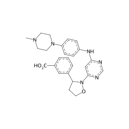 CN1CCN(c2ccc(Nc3cc(N4OCCC4c4cccc(C(=O)O)c4)ncn3)cc2)CC1